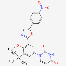 COc1c(-c2ncc(-c3ccc([N+](=O)[O-])cc3)o2)cc(-n2ccc(=O)[nH]c2=O)cc1C(C)(C)C